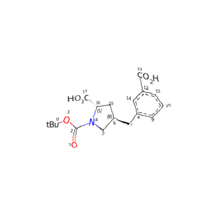 CC(C)(C)OC(=O)N1C[C@H](Cc2cccc(C(=O)O)c2)C[C@H]1C(=O)O